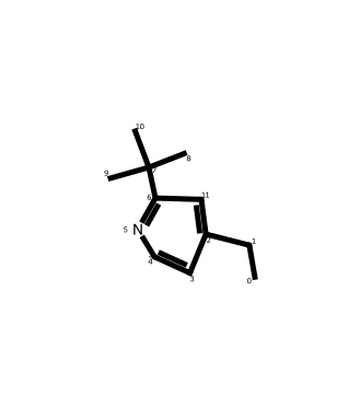 CCc1c[c]nc(C(C)(C)C)c1